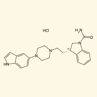 Cl.NC(=O)N1C[C@@H](CCN2CCN(c3ccc4[nH]ccc4c3)CC2)c2ccccc21